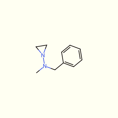 CN(Cc1ccccc1)N1CC1